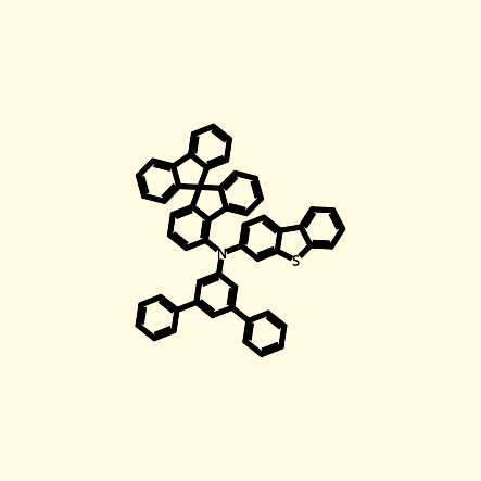 c1ccc(-c2cc(-c3ccccc3)cc(N(c3ccc4c(c3)sc3ccccc34)c3cccc4c3-c3ccccc3C43c4ccccc4-c4ccccc43)c2)cc1